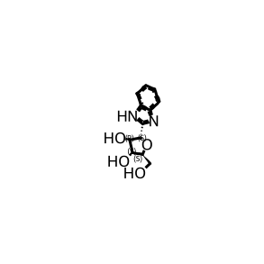 OC[C@@H]1O[C@@H](c2nc3ccccc3[nH]2)[C@H](O)[C@@H]1O